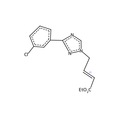 CCOC(=O)/C=C/Cn1cnc(-c2cccc(Cl)c2)n1